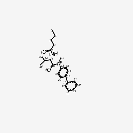 CCCCC(=O)N[C@H](C(=O)N(C)c1ccc(-c2ccccc2)cc1)C(C)C